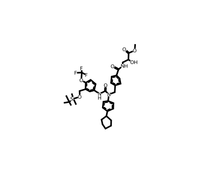 COC(=O)C(O)CNC(=O)c1ccc(CN(C(=O)Nc2ccc(OC(F)(F)F)c(CO[Si](C)(C)C(C)(C)C)c2)c2ccc(C3CCCCC3)cc2)cc1